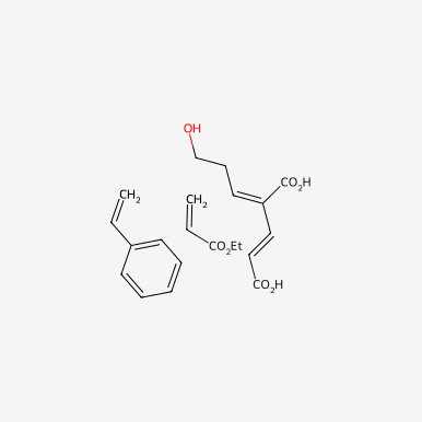 C=CC(=O)OCC.C=Cc1ccccc1.O=C(O)C=CC(=CCCO)C(=O)O